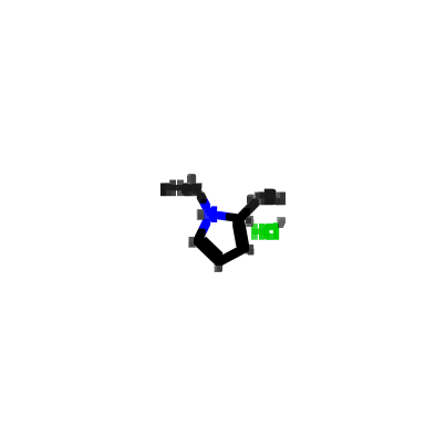 CCCCCCn1cccc1CCCC.Cl